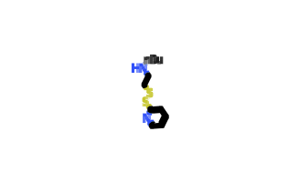 CCCCNCCSSc1ccccn1